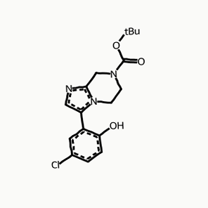 CC(C)(C)OC(=O)N1CCn2c(-c3cc(Cl)ccc3O)cnc2C1